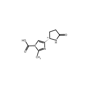 Cc1nc([C@@H]2CCC(=O)N2)cn1C(=O)O